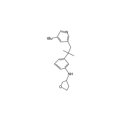 CC(C)(C)c1cncc(CC(C)(C)c2cccc(NC3CCOC3)c2)c1